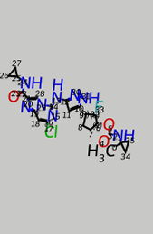 CC1(NC(=O)O[C@@H]2CC[C@H](c3cc(Nc4nc(Cl)cc5nc(C(=O)NC6CC6)cn45)n[nH]3)[C@@H]2F)CC1